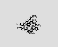 CCC(C)[C@@H](C(CC(=O)N1CCCC1C(OC)C(C)C(=O)NC(C)Cc1ccccc1)OC)N(C)C(=O)CNC(=O)C(C(C)C)N(C)CCOCCOCCON